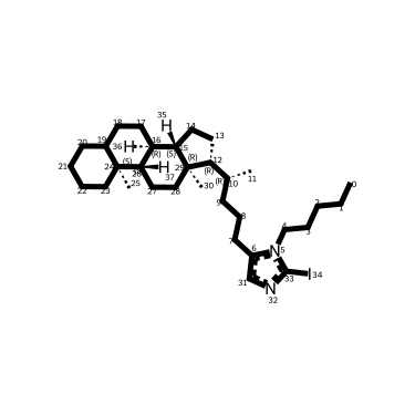 CCCCCn1c(CCC[C@@H](C)[C@H]2CC[C@H]3[C@@H]4CCC5CCCC[C@]5(C)[C@H]4CC[C@]23C)cnc1I